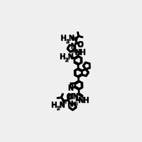 CC(C)[C@H](N)C(=O)N1CCC[C@H]1Nc1ccc(-c2ccc(-c3ccc(C4=CNC([C@@H]5CCCN5C(=O)[C@@H](N)C(C)C)N4)c4c3C=N4)c3c2C2(CCCC2)CC3)cc1N